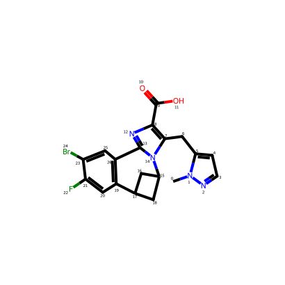 Cn1nccc1Cc1c(C(=O)O)nc2n1C1CC(C1)c1cc(F)c(Br)cc1-2